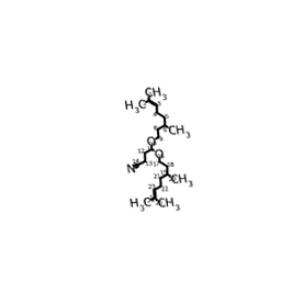 CC(C)=CCCC(C)CCOC(CCC#N)OCCC(C)CCC=C(C)C